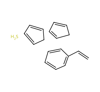 C1=CCC=C1.C1=CCC=C1.C=Cc1ccccc1.S